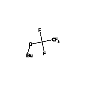 CCC(C)OC(F)(F)C(F)(F)F